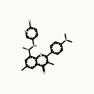 Cc1cc([C@@H](C)Nc2ccc(Cl)nc2)c2oc(-c3ccc(N(C)C)cc3)c(C)c(=O)c2c1